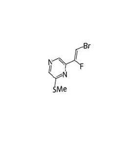 CSc1cncc(/C(F)=C/Br)n1